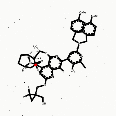 COc1ccc(CN(Cc2ccc(OC)cc2)c2cc(-c3nc4c5c(nc(OCC6(CO)CC6(F)F)nc5c3F)N3C[C@H]5CC[C@@H]([C@H]3[C@H](C(F)(F)F)O4)N5C(=O)OC(C)(C)C)c(C(F)(F)F)c(C)n2)cc1